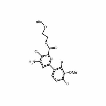 CCCCOCCOC(=O)c1nc(-c2ccc(Cl)c(OC)c2F)nc(N)c1Cl